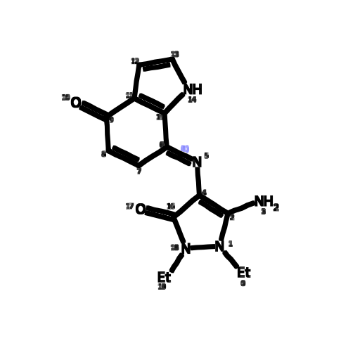 CCn1c(N)c(/N=C2\C=CC(=O)c3cc[nH]c32)c(=O)n1CC